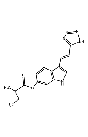 CCN(C)C(=O)Oc1ccc2c(C=Cc3nnn[nH]3)c[nH]c2c1